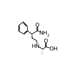 C[C@H](NCC[C@H](C(N)=O)c1ccccc1)C(=O)O